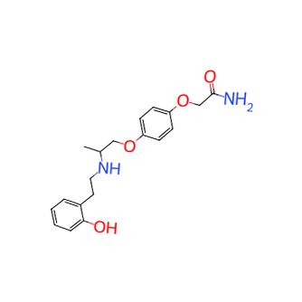 CC(COc1ccc(OCC(N)=O)cc1)NCCc1ccccc1O